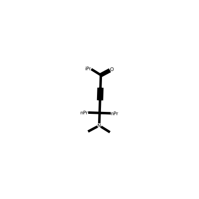 CCCC(C#CC(=O)C(C)C)(CCC)N(C)C